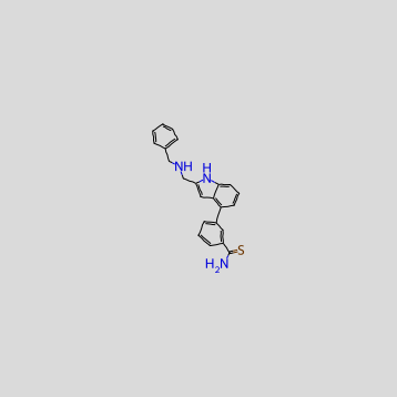 NC(=S)c1cccc(-c2cccc3[nH]c(CNCc4ccccc4)cc23)c1